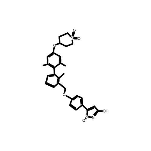 Cc1cc(OC2CCS(=O)(=O)CC2)cc(C)c1-c1cccc(COc2ccc(-c3cc(O)n[s+]3[O-])cc2)c1C